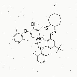 Cc1cccc(C)c1Oc1cc(C(C)(C)C)cc(CSC2CCCCCCC2SCc2cc(C(C)(C)C)cc(Oc3c(C)cccc3C)c2O)c1O